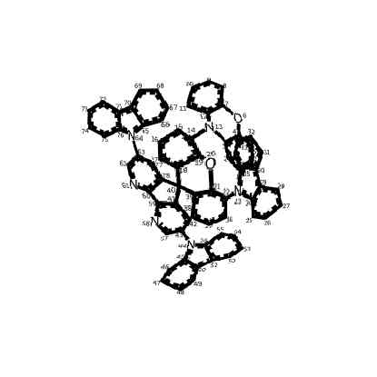 c1ccc2c(c1)Oc1ccccc1N2c1cccc2c1Oc1c(-n3c4ccccc4c4ccccc43)cccc1C21c2cc(-n3c4ccccc4c4ccccc43)cnc2-c2ncc(-n3c4ccccc4c4ccccc43)cc21